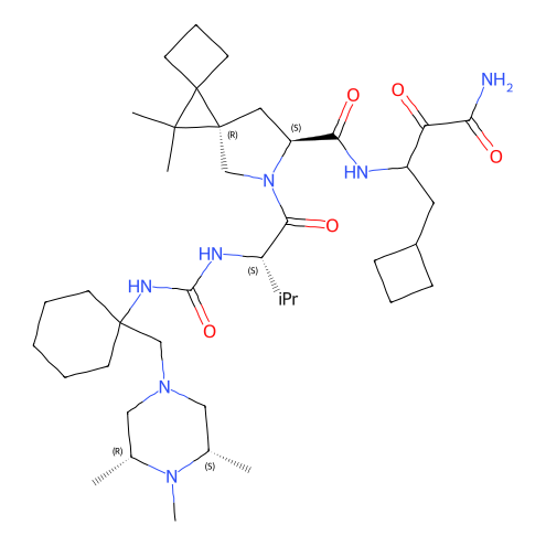 CC(C)[C@H](NC(=O)NC1(CN2C[C@@H](C)N(C)[C@@H](C)C2)CCCCC1)C(=O)N1C[C@]2(C[C@H]1C(=O)NC(CC1CCC1)C(=O)C(N)=O)C(C)(C)C21CCC1